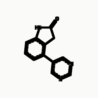 O=C1Cc2c(cccc2-c2cncnc2)N1